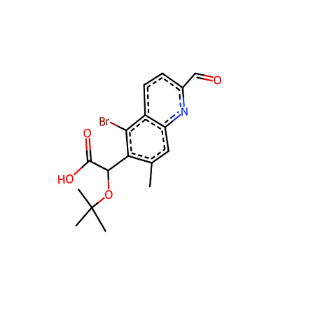 Cc1cc2nc(C=O)ccc2c(Br)c1C(OC(C)(C)C)C(=O)O